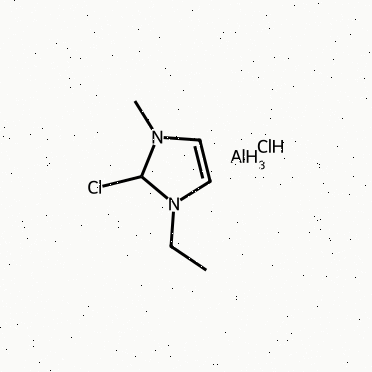 CCN1C=CN(C)C1Cl.Cl.[AlH3]